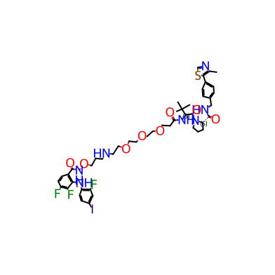 Cc1ncsc1-c1ccc(CNC(=O)[C@@H]2CCCN2C(=O)[C@@H](NC(=O)CCOCCOCCOCCNCCCONC(=O)c2ccc(F)c(F)c2Nc2ccc(I)cc2F)C(C)(C)C)cc1